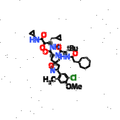 COc1cc(C)c(C2=NO[C@]3(C2)C[C@@H](C(=O)N[C@@H](CC2CC2)C(=O)C(=O)NC2CC2)N(C(=O)[C@@H](NC(=O)CC2CCCCCC2)C(C)(C)C)C3)cc1Cl